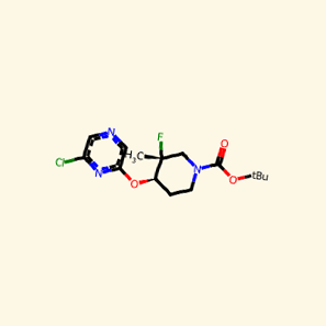 CC(C)(C)OC(=O)N1CC[C@@H](Oc2cncc(Cl)n2)[C@](C)(F)C1